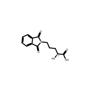 O=C(O)[C@@H](S)CCCN1C(=O)c2ccccc2C1=O